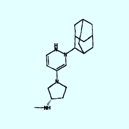 CN[C@H]1CCN(C2=CN(C3C4CC5CC(C4)CC3C5)NC=C2)C1